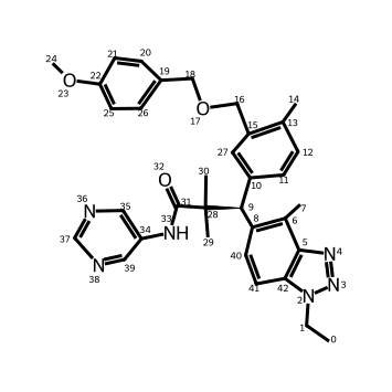 CCn1nnc2c(C)c([C@H](c3ccc(C)c(COCc4ccc(OC)cc4)c3)C(C)(C)C(=O)Nc3cncnc3)ccc21